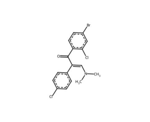 CN(C)/C=C(/C(=O)c1ccc(Br)cc1Cl)c1ccc(Cl)cc1